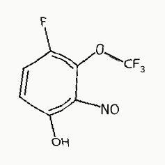 O=Nc1c(O)ccc(F)c1OC(F)(F)F